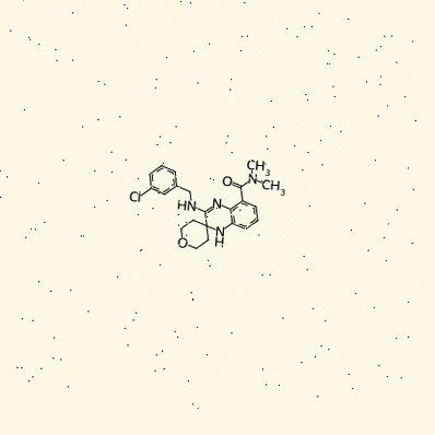 CN(C)C(=O)c1cccc2c1N=C(NCc1cccc(Cl)c1)C1(CCOCC1)N2